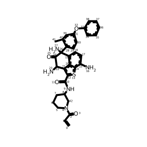 C=CC(=O)N1CCCC(NC(=O)c2sc3c(N)ccc4c3c2C(N)C(=O)C4(N)c2ccc(Oc3ccccc3)cc2C)C1